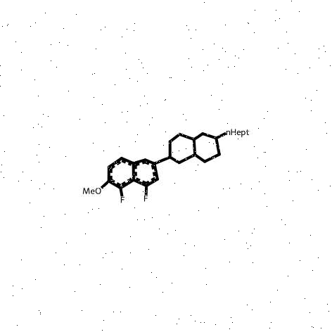 CCCCCCCC1CCC2CC(c3cc(F)c4c(F)c(OC)ccc4c3)CCC2C1